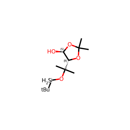 CC1(C)O[C@H](O)[C@@H](C(C)(C)O[SiH2]C(C)(C)C)O1